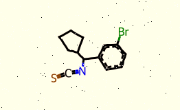 S=C=NC(c1cccc(Br)c1)C1CCCC1